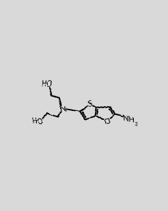 Nc1cc2sc(N(CCO)CCO)cc2o1